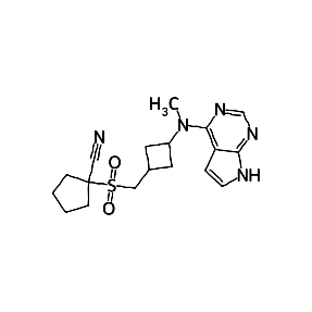 CN(c1ncnc2[nH]ccc12)C1CC(CS(=O)(=O)C2(C#N)CCCC2)C1